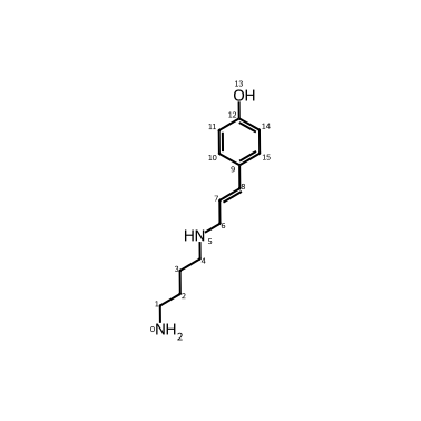 NCCCCNCC=Cc1ccc(O)cc1